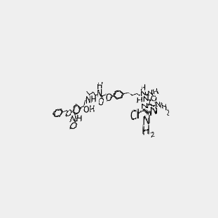 CC(CCNC(=O)COc1ccc(CCCCNC(=N)NC(=O)c2nc(Cl)c(N)nc2N)cc1)NCC(O)c1ccc(OCc2ccccc2)c(NC=O)c1